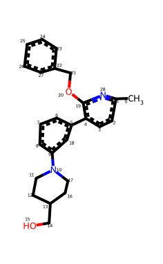 Cc1ccc(-c2cccc(N3CCC(CO)CC3)c2)c(OCc2ccccc2)n1